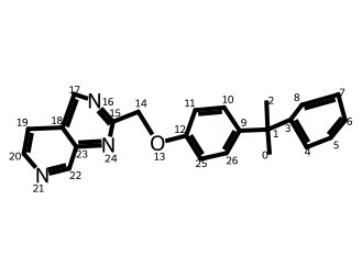 CC(C)(c1ccccc1)c1ccc(OCc2ncc3ccncc3n2)cc1